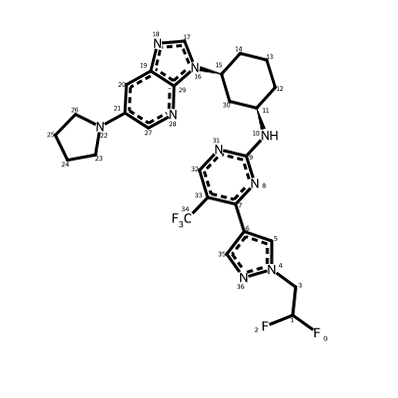 FC(F)Cn1cc(-c2nc(N[C@@H]3CCC[C@H](n4cnc5cc(N6CCCC6)cnc54)C3)ncc2C(F)(F)F)cn1